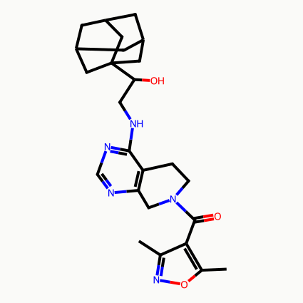 Cc1noc(C)c1C(=O)N1CCc2c(ncnc2NCC(O)C23CC4CC(CC(C4)C2)C3)C1